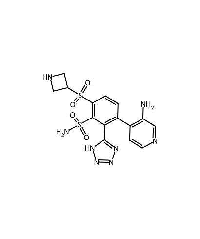 Nc1cnccc1-c1ccc(S(=O)(=O)C2CNC2)c(S(N)(=O)=O)c1-c1nnn[nH]1